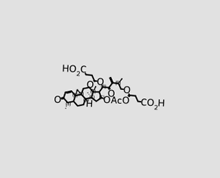 C=C(C(=O)[C@H](OC(=O)CCC(=O)O)C1[C@@H](OC(C)=O)C[C@@]2(C)[C@@H]3CCC4[C@H](C)C(=O)C=C[C@@]45C[C@@]35CC[C@]12C)[C@@H](C)COC(=O)CCC(=O)O